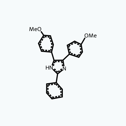 COc1ccc(-c2nc(-c3ccccc3)[nH]c2-c2ccc(OC)cc2)cc1